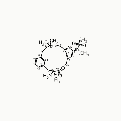 CN(c1cc2cc(n1)CCC(C)(C)CCc1cccc(c1)CC(C)(N)C(=O)OC2)S(C)(=O)=O